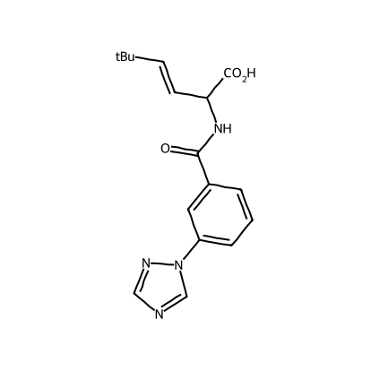 CC(C)(C)/C=C/C(NC(=O)c1cccc(-n2cncn2)c1)C(=O)O